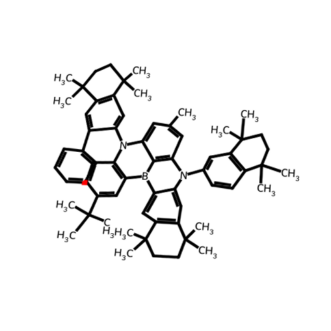 Cc1cc2c3c(c1)N(c1cc4c(cc1-c1ccccc1)C(C)(C)CCC4(C)C)c1ccc(C(C)(C)C)cc1B3c1cc3c(cc1N2c1ccc2c(c1)C(C)(C)CCC2(C)C)C(C)(C)CCC3(C)C